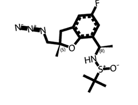 C[C@@H](N[S+]([O-])C(C)(C)C)c1cc(F)cc2c1O[C@](C)(CN=[N+]=[N-])C2